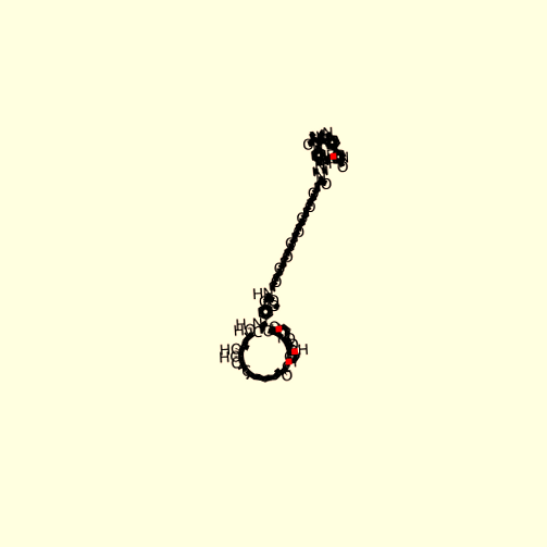 COc1ccc(-c2ccc3ncc4c(c3c2)n(-c2ccc(N3CCN(C(=O)CCOCCOCCOCCOCCOCCOCCOCCOCCNC(=O)O[C@@H]5CC[C@@H](C[C@@H](N)[C@@H]6C[C@@H](O)[C@H](C)/C=C(\C)[C@@H](O)[C@@H](O)C(=O)[C@H](C)C[C@H](C)/C=C/C=C/C=C(\C)[C@@H](OC)C[C@@H]7CC[C@@H](C)[C@@](O)(O7)C(=O)C(=O)N7CCCC[C@H]7C(=O)O6)C[C@H]5OC)CC3)c(C(F)(F)F)c2)c(=O)n4C)cn1